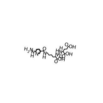 NNc1ccc(C(=O)NCCCCC(NC(=O)NC(CCC(=O)O)C(=O)O)C(=O)O)cn1